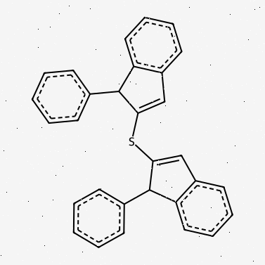 C1=C(SC2=Cc3ccccc3C2c2ccccc2)C(c2ccccc2)c2ccccc21